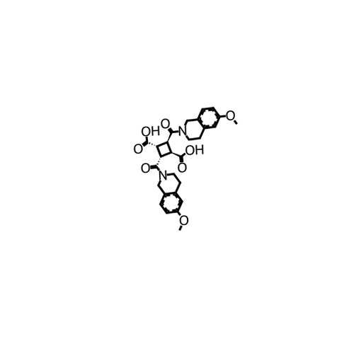 COc1ccc2c(c1)CCN(C(=O)[C@H]1[C@H](C(=O)O)[C@H](C(=O)N3CCc4cc(OC)ccc4C3)[C@H]1C(=O)O)C2